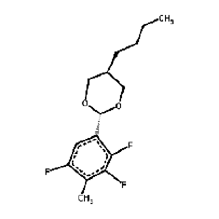 CCCC[C@H]1CO[C@H](c2cc(F)c(C)c(F)c2F)OC1